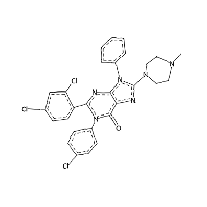 CN1CCN(c2nc3c(=O)n(-c4ccc(Cl)cc4)c(-c4ccc(Cl)cc4Cl)nc3n2-c2ccccc2)CC1